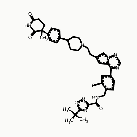 CC(C)(C)c1nc(C(=O)NCc2ccc(-c3ncnn4cc(CCN5CCC(c6ccc(C7(C)CCC(=O)NC7=O)cc6)CC5)cc34)cc2F)no1